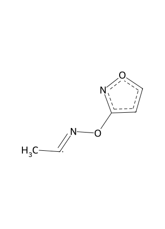 C[C]=NOc1ccon1